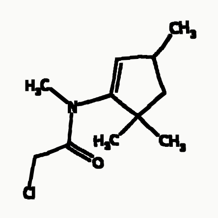 CC1C=C(N(C)C(=O)CCl)C(C)(C)C1